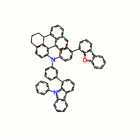 c1ccc(-n2c3ccccc3c3cccc(-c4cccc(N(c5ccc(-c6cccc7c6oc6ccccc67)cc5)c5ccccc5-c5cccc6cccc(C7CCCCC7)c56)c4)c32)cc1